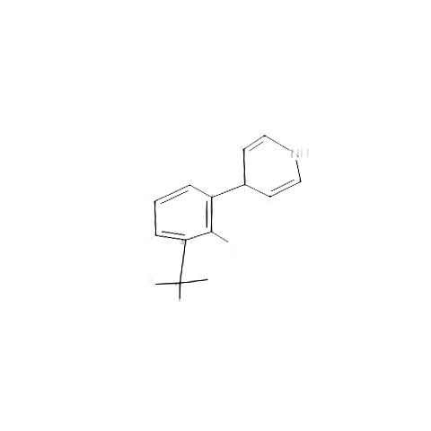 FC(F)(F)c1cccc(C2C=CNC=C2)c1Cl